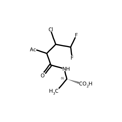 CC(=O)C(C(=O)N[C@@H](C)C(=O)O)C(Cl)C(F)F